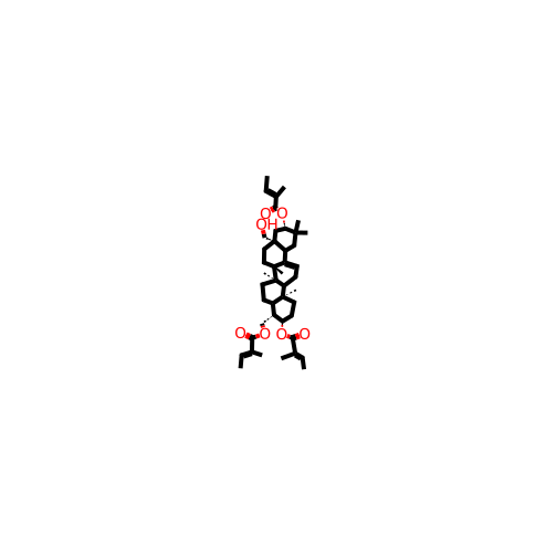 C/C=C(\C)C(=O)OC[C@@H]1C2CC[C@]3(C)C(CC=C4C5CC(C)(C)[C@@H](OC(=O)/C(C)=C/C)C[C@]5(CO)CC[C@]43C)[C@@]2(C)CC[C@@H]1OC(=O)/C(C)=C/C